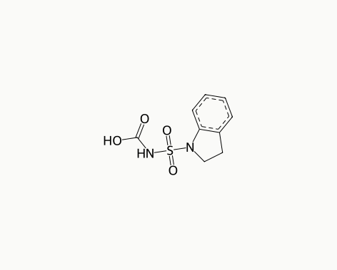 O=C(O)NS(=O)(=O)N1CCc2ccccc21